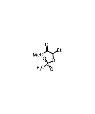 CC[C@@H](OS(=O)(=O)C(F)(F)F)C(=O)OC